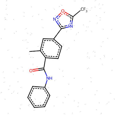 Cc1cc(-c2noc(C(F)(F)F)n2)ccc1C(=O)Nc1ccccc1